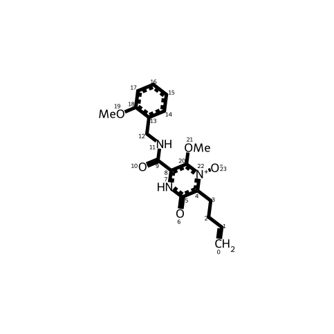 C=CCCc1c(=O)[nH]c(C(=O)NCc2ccccc2OC)c(OC)[n+]1[O-]